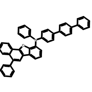 c1ccc(-c2ccc(-c3ccc(N(c4ccccc4)c4cccc5c4oc4c6ccccc6c(-c6ccccc6)cc54)cc3)cc2)cc1